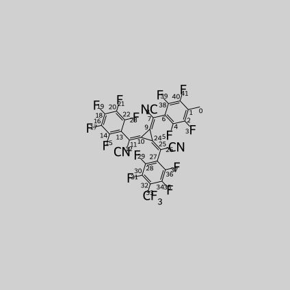 Cc1c(F)c(F)c(/C(C#N)=C2/C(=C(C#N)c3c(F)c(F)c(F)c(F)c3F)/C2=C(/C#N)c2c(F)c(F)c(C(F)(F)F)c(F)c2F)c(F)c1F